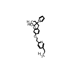 CCc1ccc(CCOc2ccc(CC(CC)(C(=O)O)n3cccc3)cc2)nc1